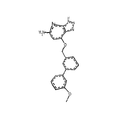 COc1cccc(-c2cccc(COc3cc(N)nc4[nH]nnc34)c2)c1